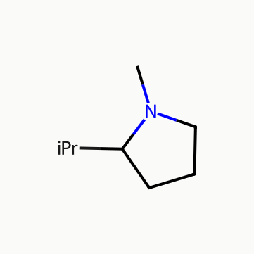 CC(C)C1CCCN1C